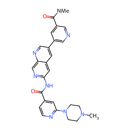 CNC(=O)c1cncc(-c2cnc3cnc(NC(=O)c4ccnc(N5CCN(C)CC5)c4)cc3c2)c1